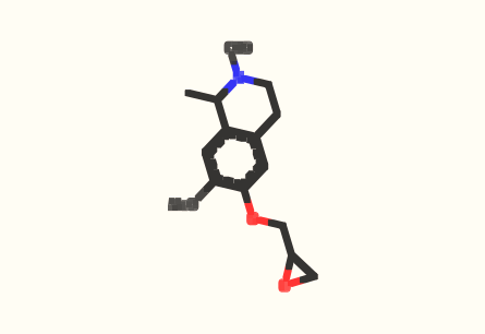 COc1cc2c(cc1OCC1CO1)CCN(C=O)C2C